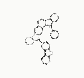 c1ccc(-n2c3ccccc3c3ccc4cc5c6ccccc6n(-c6ccc7oc8ccccc8c7c6)c5cc4c32)cc1